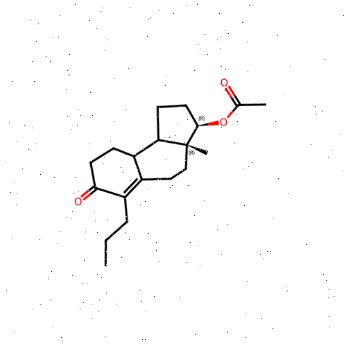 CCCC1=C2CC[C@]3(C)C(CC[C@H]3OC(C)=O)C2CCC1=O